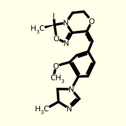 COc1cc(/C=C2/OCCN3C2=NO[C@]3(C)I)ccc1N1C=NC(C)C1